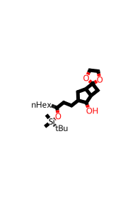 CCCCCCC(CCC1CC2C(CC23OCCO3)C1O)O[Si](C)(C)C(C)(C)C